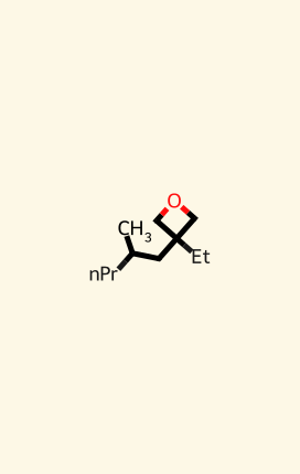 CCCC(C)CC1(CC)COC1